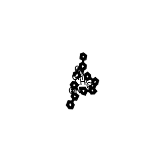 C=C/C=C1\C(=C/C)Oc2cc(-c3ccccc3)ccc2N1c1ccc(-c2cccc3c2oc2c(-c4ccc(N5c6ccccc6Oc6cc(-c7ccccc7)ccc65)cc4)cccc23)cc1